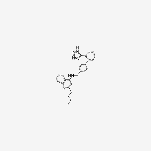 CCCCc1cc(NCc2ccc(-c3ccccc3-c3nnn[nH]3)cc2)c2ccccc2n1